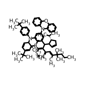 C=C(/C=C(\C)C(C)(C)CCC)C1=C(SC)B2c3c(cc(N4c5ccccc5Oc5ccccc54)cc3N(c3ccc(C(C)(C)C)cc3)C3C=CC(C(C)(C)C)=CC23C)C1C1C=CC[C@H]1C(C)C